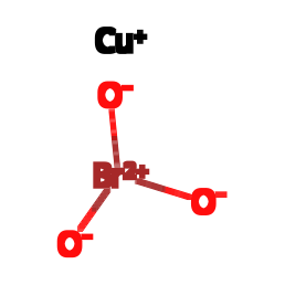 [Cu+].[O-][Br+2]([O-])[O-]